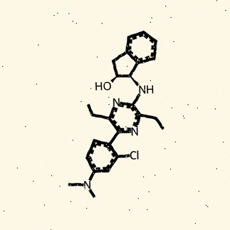 CCc1nc(-c2ccc(N(C)C)cc2Cl)c(CC)nc1N[C@@H]1c2ccccc2C[C@@H]1O